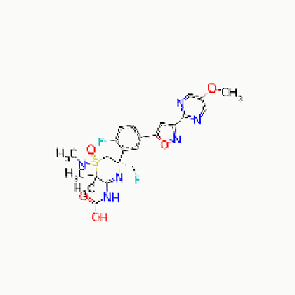 CN=S1(=O)C[C@@](CF)(c2cc(-c3cc(-c4ncc(OC)cn4)no3)ccc2F)N=C(NC(=O)O)C1(C)C